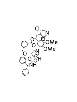 COc1ccc(C(Cc2c(Cl)cncc2Cl)OC(=O)c2cccc(COc3cccc(C(NC(=O)O[C@H]4CN5CCC4CC5)c4ccccc4)c3)c2)cc1OC